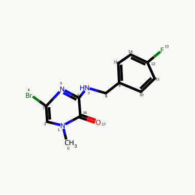 Cn1cc(Br)nc(NCc2ccc(F)cc2)c1=O